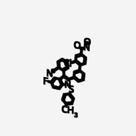 Cc1ccc(Sn2c(-c3cccc(-c4ccc(C(=O)N=O)cc4Cl)c3)c(-c3ccccc3C#N)c3cc(F)ccc32)cc1